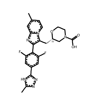 Cc1ccn2c(C[C@H]3CN(C(=O)O)CCO3)c(-c3c(F)cc(-c4nnc(C)[nH]4)cc3F)nc2c1